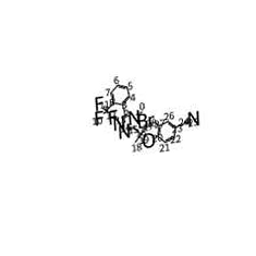 Cn1c(-c2ccccc2C(F)(F)F)nnc1C(C)(C)Oc1ccc(C#N)cc1Br